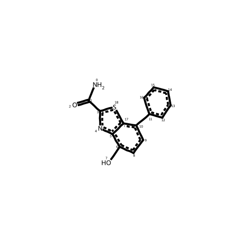 NC(=O)c1nc2c(O)ccc(-c3ccccc3)c2s1